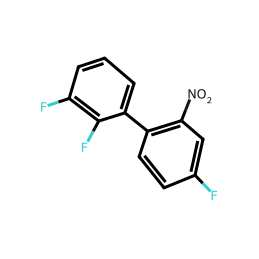 O=[N+]([O-])c1cc(F)ccc1-c1cccc(F)c1F